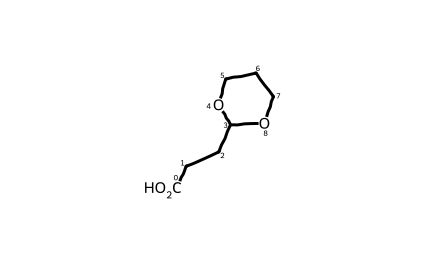 O=C(O)CCC1OCCCO1